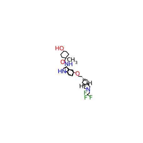 C[C@]1(C(=O)Nc2c[nH]c3ccc(OCC[C@@H]4C[C@@H]5CN(CC(F)(F)F)C[C@@H]5C4)cc23)CC[C@H](O)CC1